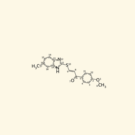 COc1ccc(C(=O)C=CSc2nc3ccc(C)cc3[nH]2)cc1